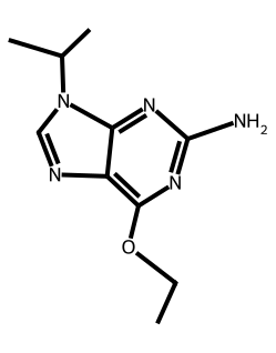 CCOc1nc(N)nc2c1ncn2C(C)C